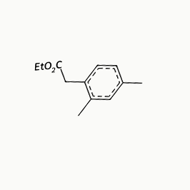 CCOC(=O)Cc1ccc(C)cc1C